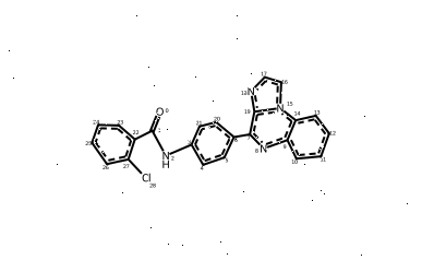 O=C(Nc1ccc(-c2nc3ccccc3n3ccnc23)cc1)c1ccccc1Cl